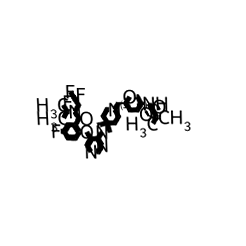 CC(C)N(CC(F)(F)F)C(=O)c1cc(F)ccc1Oc1cncnc1N1CC2(CCN(C[C@@H]3CC[C@@H](NS(=O)(=O)C(C)C)CO3)CC2)C1